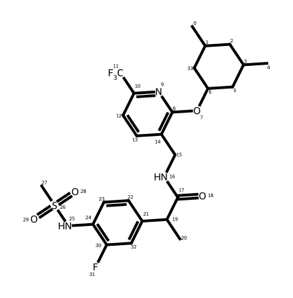 CC1CC(C)CC(Oc2nc(C(F)(F)F)ccc2CNC(=O)C(C)c2ccc(NS(C)(=O)=O)c(F)c2)C1